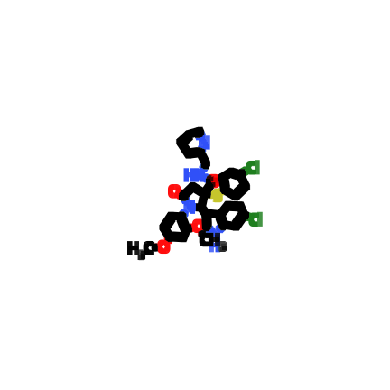 COc1ccc(N2C(=O)CC(Sc3ccc(Cl)cc3)(C(=O)NCc3ccccn3)C2c2c[nH]c3cc(Cl)ccc23)c(OC)c1